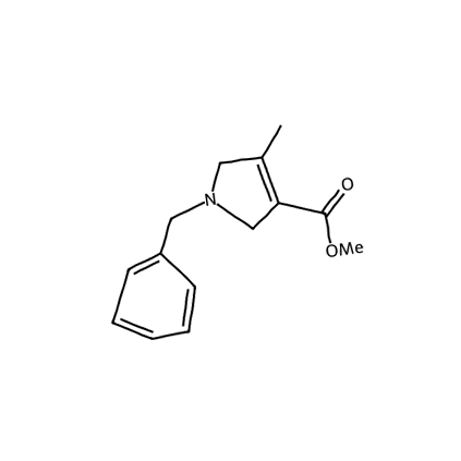 COC(=O)C1=C(C)CN(Cc2ccccc2)C1